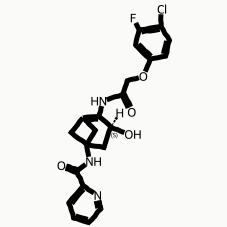 O=C(COc1ccc(Cl)c(F)c1)NC1=C2CC(NC(=O)c3ccccn3)(C2)C[C@@H]1O